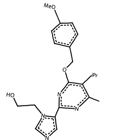 COc1ccc(COc2nc(-c3cncn3CCO)nc(C)c2C(C)C)cc1